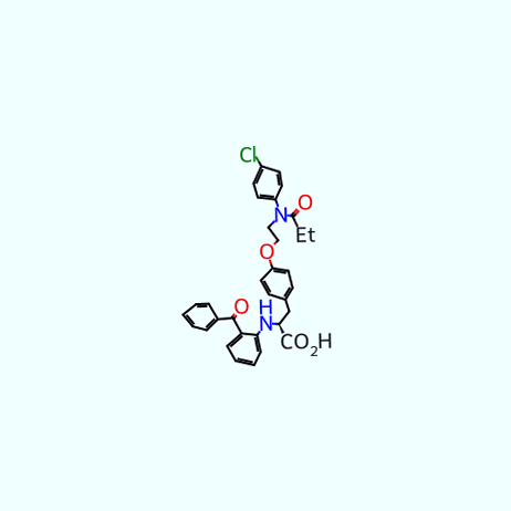 CCC(=O)N(CCOc1ccc(C[C@H](Nc2ccccc2C(=O)c2ccccc2)C(=O)O)cc1)c1ccc(Cl)cc1